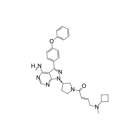 CN(CC=CC(=O)N1CC[C@@H](n2nc(-c3ccc(Oc4ccccc4)cc3)c3c(N)ncnc32)C1)C1CCC1